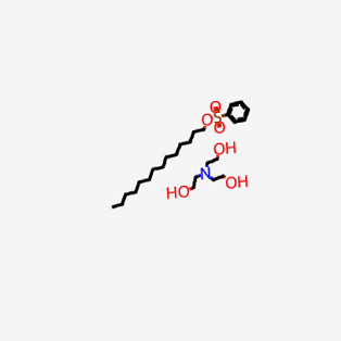 CCCCCCCCCCCCCCOS(=O)(=O)c1ccccc1.OCCN(CCO)CCO